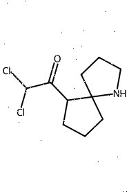 O=C(C(Cl)Cl)C1CCCC12CCCN2